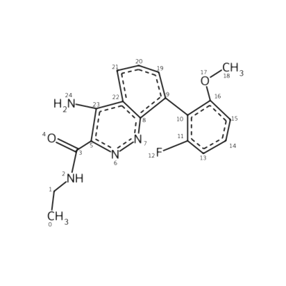 CCNC(=O)c1nnc2c(-c3c(F)cccc3OC)cccc2c1N